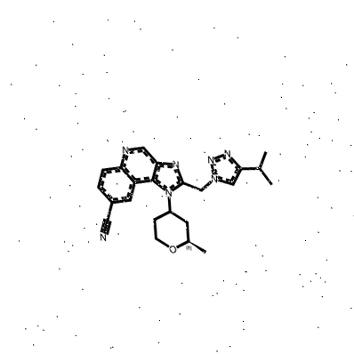 CC(C)c1cn(Cc2nc3cnc4ccc(C#N)cc4c3n2C2CCO[C@H](C)C2)nn1